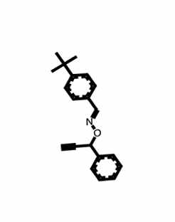 C#CC(O/N=C/c1ccc(C(C)(C)C)cc1)c1ccccc1